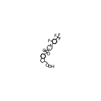 O=S(=O)(c1ccc2c(c1)C(COO)CC2)N1CCN(c2ccc(C(F)(F)F)cc2F)CC1